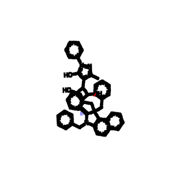 Cc1nn(-c2ccccc2)c(O)c1C1C(O)C(/C=C2/N(Cc3ccccc3)c3ccc4ccccc4c3C2(Cc2ccccc2)Cc2ccccc2)C1O